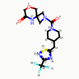 O=C1COCC2(CN(C(=O)N3CCC(Cc4nc(C(F)(F)F)ns4)CC3)C2)N1